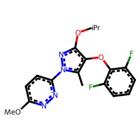 COc1ccc(-n2nc(OC(C)C)c(Oc3c(F)cccc3F)c2C)nn1